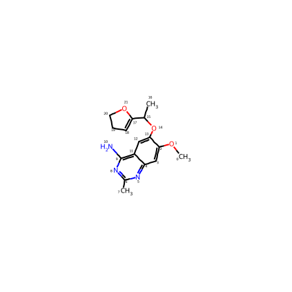 COc1cc2nc(C)nc(N)c2cc1OC(C)C1=CCCO1